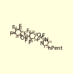 CCCCCc1cnc(C(F)(F)Oc2cc(F)c(C(F)(F)Oc3cc(F)c(F)c(F)c3)c(F)c2)nc1